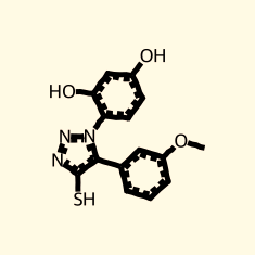 COc1cccc(-c2c(S)nnn2-c2ccc(O)cc2O)c1